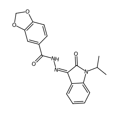 CC(C)N1C(=O)/C(=N\NC(=O)c2ccc3c(c2)OCO3)c2ccccc21